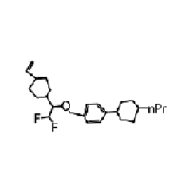 C=CC1CCC(C(OCc2ccc(C3CCC(CCC)CC3)cc2)C(F)F)CC1